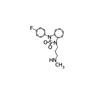 CNCCCN1c2ccccc2N(c2ccc(F)cc2)S1(=O)=O